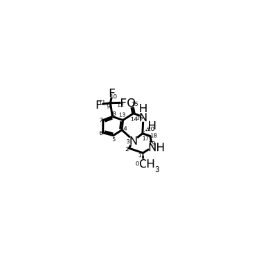 C[C@H]1CN2c3cccc(C(F)(F)F)c3C(=O)N[C@H]2CN1